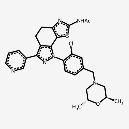 CC(=O)Nc1nc2c(s1)-c1c(c(-c3cccnc3)nn1-c1ccc(CN3C[C@@H](C)O[C@H](C)C3)cc1Cl)CC2